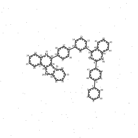 c1ccc(-c2ccc(-c3nc(-c4cccc(-c5ccc(-c6nc7ccccc7c7nc8ccccn8c67)cc5)c4)c4ccccc4n3)cc2)cc1